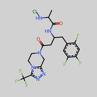 CC(NCl)C(=O)NC(CC(=O)N1CCn2c(nnc2C(F)(F)F)C1)Cc1cc(F)c(F)cc1F